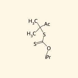 CC(=O)C(C)(C)SC(=S)OC(C)C